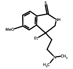 CCC1(CCN(C)C)CNC(=S)c2ccc(OC)cc21